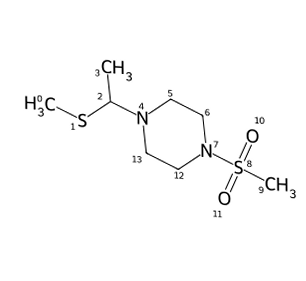 CSC(C)N1CCN(S(C)(=O)=O)CC1